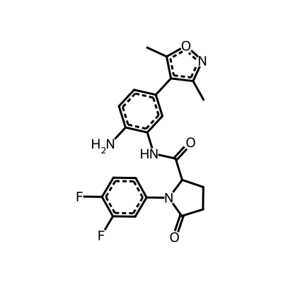 Cc1noc(C)c1-c1ccc(N)c(NC(=O)C2CCC(=O)N2c2ccc(F)c(F)c2)c1